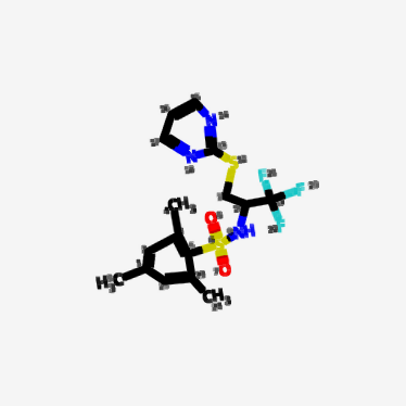 Cc1cc(C)c(S(=O)(=O)NC(CSc2ncccn2)C(F)(F)F)c(C)c1